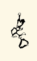 O=C(Nc1ccncc1)C1=C(O)CCc2c1nc1ccc(Cl)cn21